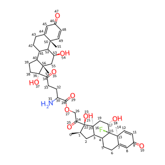 C[C@@H]1CC2C3CCC4=CC(=O)C=C[C@]4(C)[C@@]3(F)[C@@H](O)C[C@]2(C)[C@@]1(O)C(=O)COC(=O)C(N)C[CH]C(=O)[C@@]1(O)CCC2C3CCC4=CC(=O)C=C[C@]4(C)C3[C@@H](O)C[C@@]21C